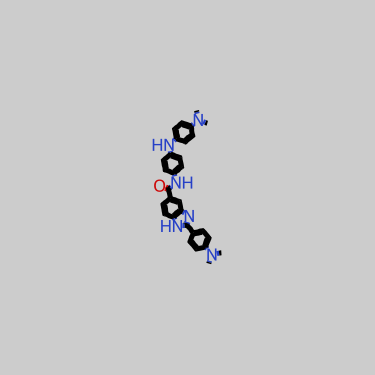 CN(C)c1ccc(Nc2ccc(NC(=O)c3ccc4[nH]c(-c5ccc(N(C)C)cc5)nc4c3)cc2)cc1